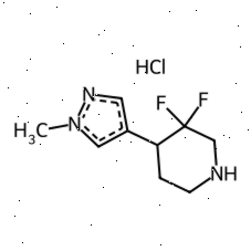 Cl.Cn1cc(C2CCNCC2(F)F)cn1